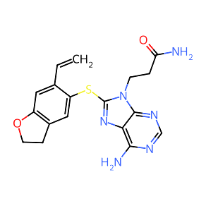 C=Cc1cc2c(cc1Sc1nc3c(N)ncnc3n1CCC(N)=O)CCO2